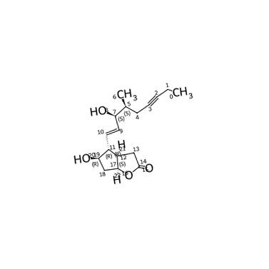 CCC#CC[C@H](C)[C@H](O)C=C[C@@H]1[C@H]2CC(=O)O[C@H]2C[C@H]1O